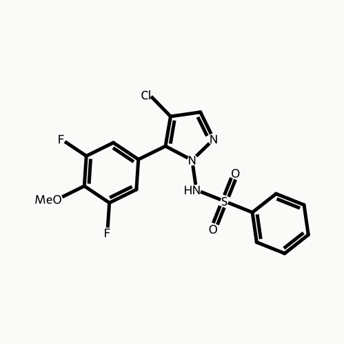 COc1c(F)cc(-c2c(Cl)cnn2NS(=O)(=O)c2ccccc2)cc1F